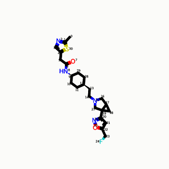 Cc1ncc(CC(=O)N[C@H]2CC[C@H](CCN3CC4CC4(c4cc(CF)on4)C3)CC2)s1